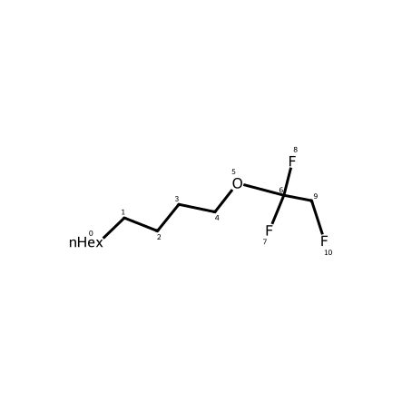 CCCCCCCCCCOC(F)(F)CF